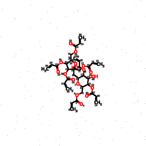 C=CC(=O)OCC1OC(CC2(COC(=O)C=C)OC(COC(=O)C=C)C(OC(=O)C=C)C2OC(=O)C=C)C(OC(O)C=C)C(O)C1OC(=O)C=C